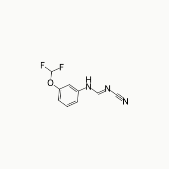 N#C/N=C/Nc1cccc(OC(F)F)c1